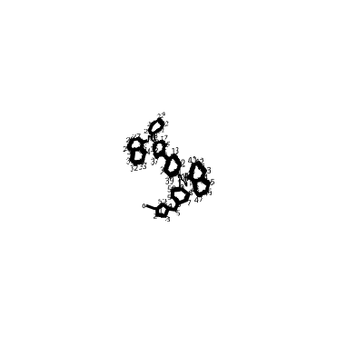 CC1C=CC(Cc2ccc(N(c3ccc(-c4ccc(N(c5ccccc5)c5cccc6ccccc56)cc4)cc3)c3cccc4ccccc34)cc2)C1